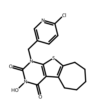 O=c1c2c3c(sc2n(Cc2ccc(Cl)nc2)c(=O)n1O)CCCCC3